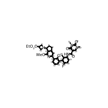 CCOC(=O)C1CN(C2CCc3cc(-c4cccc(-c5c(F)ccc(NC(=O)c6cn(C)c(=O)n(C)c6=O)c5C)c4Cl)nc(OC)c32)C1